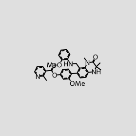 COc1ccccc1NCc1c(-c2ccc(OC(=O)c3cccnc3C)cc2OC)ccc2c1N(C)C(=O)C(C)(C)N2